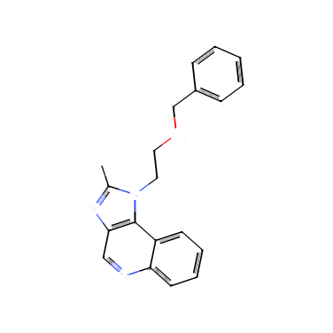 CCCCCCCCc1nc2cnc3ccccc3c2n1CCOCc1ccccc1